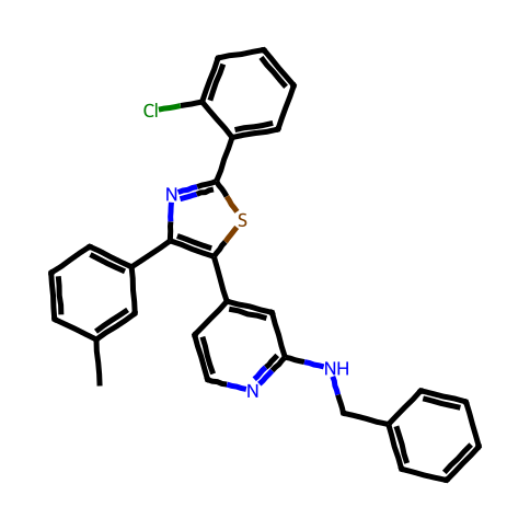 Cc1cccc(-c2nc(-c3ccccc3Cl)sc2-c2ccnc(NCc3ccccc3)c2)c1